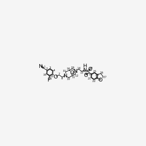 N#Cc1ccc(OCCN2CC3CN(CCNS(=O)(=O)c4ccc5c(c4)CCO5)CC(C2)O3)c(F)c1